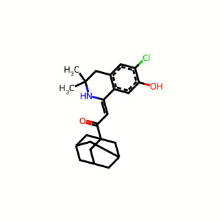 CC1(C)Cc2cc(Cl)c(O)cc2C(=CC(=O)C23CC4CC(CC(C4)C2)C3)N1